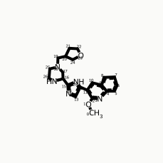 COc1nc2ccccc2cc1-c1cnc(C2CN(CC3CCOC3)CCN2)[nH]1